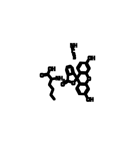 CCCCC(N)C(=O)O.N=C=S.O=C1OC2(c3ccc(O)cc3Oc3cc(O)ccc32)c2ccccc21